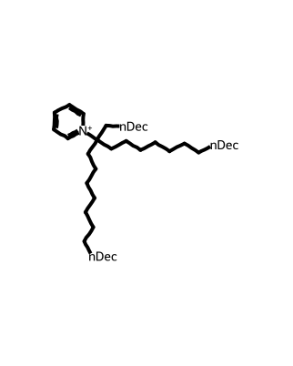 CCCCCCCCCCCCCCCCCC(CCCCCCCCCCC)(CCCCCCCCCCCCCCCCC)[n+]1ccccc1